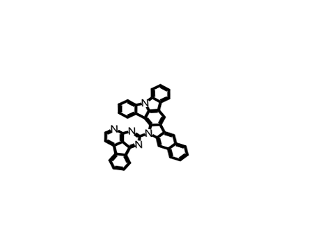 c1ccc2c(c1)-c1ccnc3nc(-n4c5cc6ccccc6cc5c5cc6c7ccccc7n7c8ccccc8c(c54)c67)nc-2c13